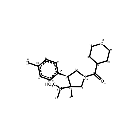 CN(C(=O)O)[C@@]1(C)CN(C(=O)C2CCOCC2)C[C@@H]1c1ccc(Cl)cc1